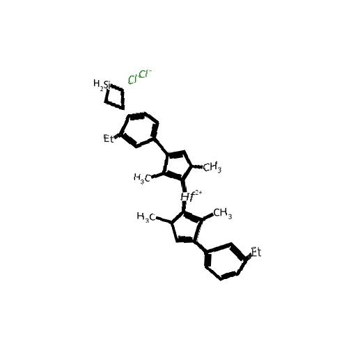 C1C[SiH2]C1.CCc1cccc(C2=CC(C)[C]([Hf+2][C]3=C(C)C(c4cccc(CC)c4)=CC3C)=C2C)c1.[Cl-].[Cl-]